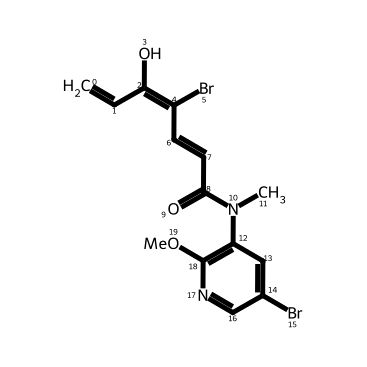 C=C/C(O)=C(Br)\C=C\C(=O)N(C)c1cc(Br)cnc1OC